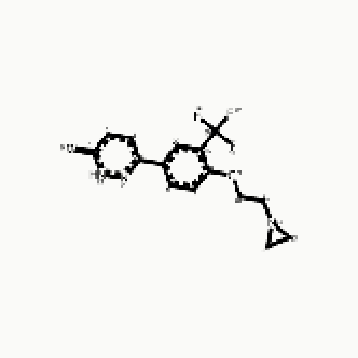 O=c1ccc(-c2ccc(OCCN3CC3)c(C(F)(F)F)c2)n[nH]1